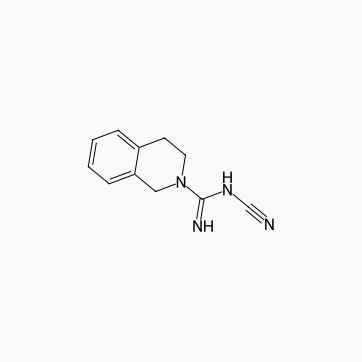 N#CNC(=N)N1CCc2ccccc2C1